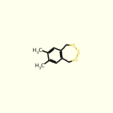 Cc1cc2c(cc1C)CSSSC2